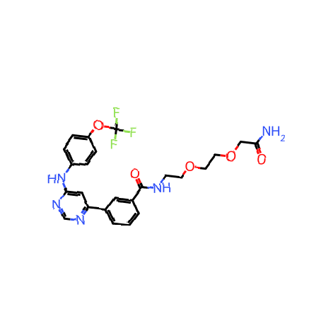 NC(=O)COCCOCCNC(=O)c1cccc(-c2cc(Nc3ccc(OC(F)(F)F)cc3)ncn2)c1